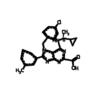 Cc1cccc(-c2nc3nc(C(=O)O)nc(N[C@H](C)C4CC4)c3n2Cc2ccc(Cl)cc2)c1